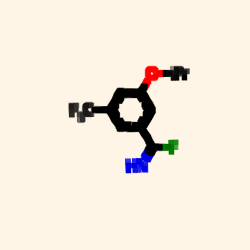 CC(C)Oc1cc(C(=N)F)cc(C(F)(F)F)c1